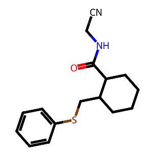 N#CCNC(=O)C1CCCCC1CSc1ccccc1